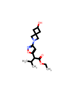 CCOC(=O)C(c1cc(N2CC3(CC(O)C3)C2)no1)C(C)C